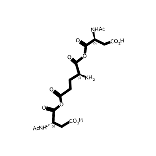 CC(=O)N[C@@H](CC(=O)O)C(=O)OC(=O)CC[C@H](N)C(=O)OC(=O)[C@H](CC(=O)O)NC(C)=O